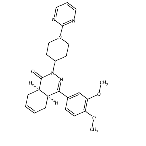 COc1ccc(C2=NN(C3CCN(c4ncccn4)CC3)C(=O)[C@@H]3CC=CC[C@H]23)cc1OC